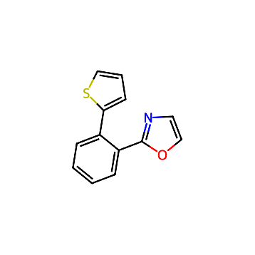 c1csc(-c2ccccc2-c2ncco2)c1